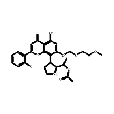 COCCOCOc1cc(O)c2c(=O)cc(-c3ccccc3Cl)oc2c1C1CCNC1C(C)OC(C)=O